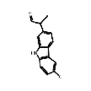 CC([C]=O)c1ccc2c(c1)[nH]c1ccc(Cl)cc12